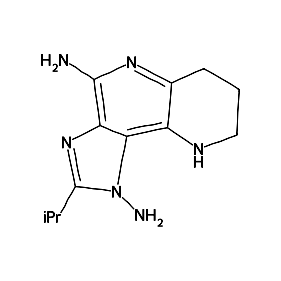 CC(C)c1nc2c(N)nc3c(c2n1N)NCCC3